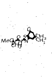 CON(C)C(=O)Nc1nc2c(s1)C(=O)CC(C)(C)C2